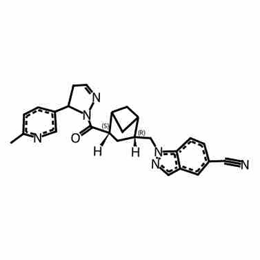 Cc1ccc(C2CC=NN2C(=O)[C@H]2C[C@@H](Cn3ncc4cc(C#N)ccc43)C3CC2C3)cn1